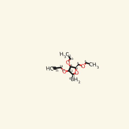 B[C@@H]1O[C@H](COCC)C(OCC)C1OCC#C